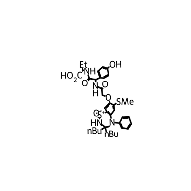 CCCCC1(CCCC)CN(c2ccccc2)c2cc(SC)c(OCC(=O)NC(C(=O)NC(CC)C(=O)O)c3ccc(O)cc3)cc2[S+]([O-])N1